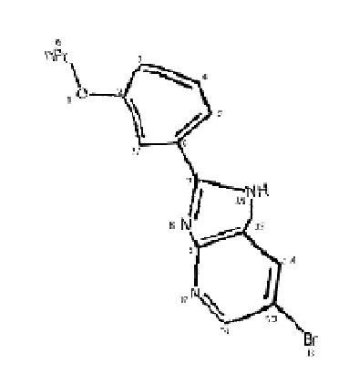 CCCOc1cccc(-c2nc3ncc(Br)cc3[nH]2)c1